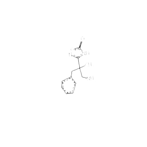 CC(CN)(Cc1ccccc1)c1noc(=O)[nH]1